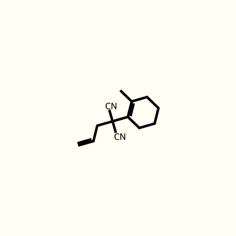 C=CCC(C#N)(C#N)C1=C(C)CCCC1